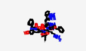 CC(C)(C)OC(=O)N(C(=O)[C@H](CCCCN)NC(=O)[C@H](Cc1c[nH]c2ccccc12)NC(=O)OCc1ccccc1)[C@@H](Cc1ccc(O)cc1)C(=O)NC(=O)Cc1ccccc1